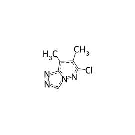 Cc1c(Cl)nn2cnnc2c1C